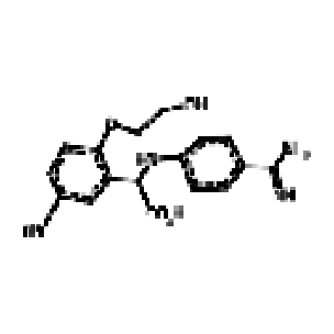 CCCc1ccc(OCCO)c(C(Nc2ccc(C(=N)N)cc2)C(=O)O)c1